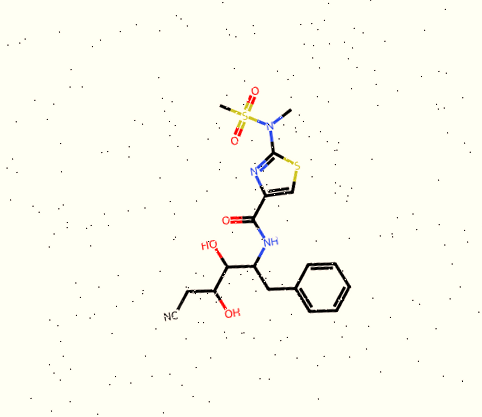 CN(c1nc(C(=O)NC(Cc2ccccc2)C(O)C(O)CC#N)cs1)S(C)(=O)=O